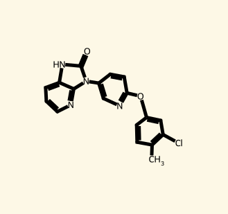 Cc1ccc(Oc2ccc(-n3c(=O)[nH]c4cccnc43)cn2)cc1Cl